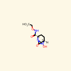 O=C(O)CONC(=O)[C@@H]1CC[C@@H]2CN1C(=O)N2O